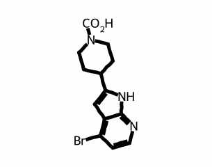 O=C(O)N1CCC(c2cc3c(Br)ccnc3[nH]2)CC1